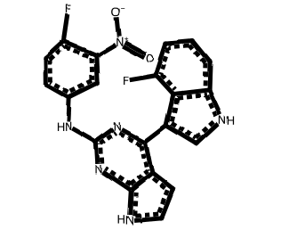 O=[N+]([O-])c1cc(Nc2nc(-c3c[nH]c4cccc(F)c34)c3cc[nH]c3n2)ccc1F